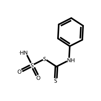 [NH]S(=O)(=O)SC(=S)Nc1ccccc1